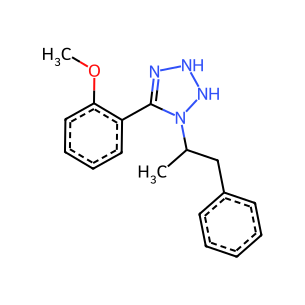 COc1ccccc1C1=NNNN1C(C)Cc1ccccc1